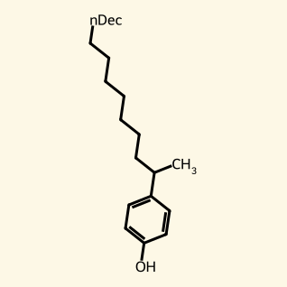 CCCCCCCCCCCCCCCCCC(C)c1ccc(O)cc1